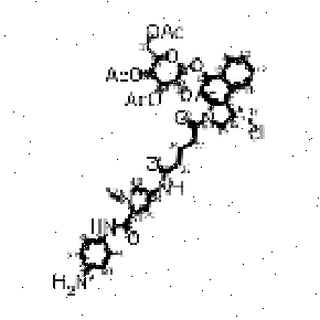 CC(=O)OC[C@H]1O[C@@H](Oc2cc3c(c4ccccc24)[C@H](CCl)CN3C(=O)CCCC(=O)Nc2cc(C(=O)Nc3ccc(N)cc3)n(C)c2)[C@H](OC(C)=O)[C@@H](OC(C)=O)[C@H]1OC(C)=O